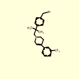 CC(C)Cc1ccc(C(C)(C)CN2CC=C(c3cccc(C(F)(F)F)c3)CC2)cc1